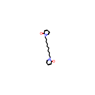 O=c1ccccn1CCCCCCCCCCn1ccccc1=O